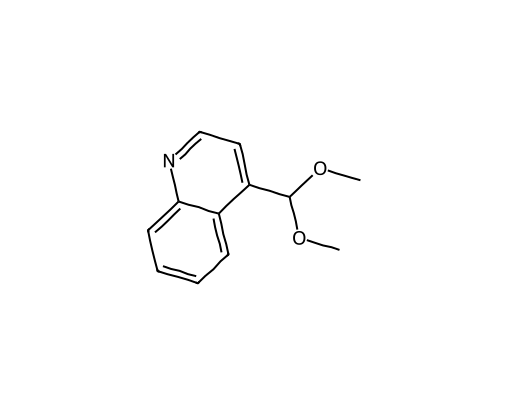 COC(OC)c1ccnc2ccccc12